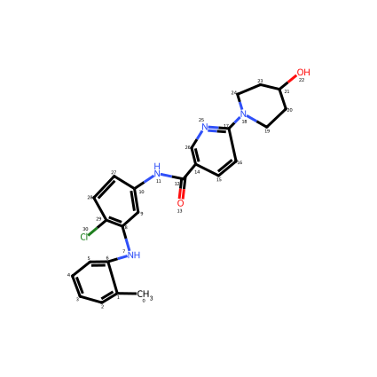 Cc1ccccc1Nc1cc(NC(=O)c2ccc(N3CCC(O)CC3)nc2)ccc1Cl